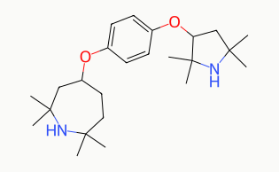 CC1(C)CCC(Oc2ccc(OC3CC(C)(C)NC3(C)C)cc2)CC(C)(C)N1